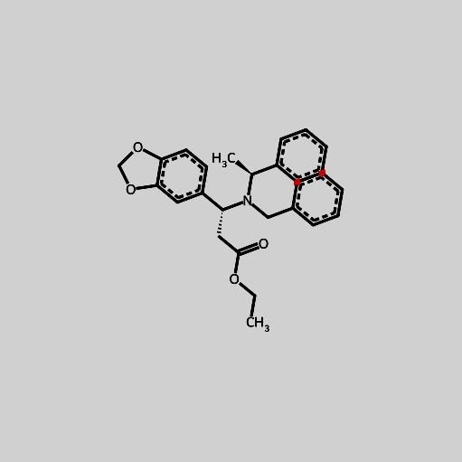 CCOC(=O)C[C@H](c1ccc2c(c1)OCO2)N(Cc1ccccc1)[C@@H](C)c1ccccc1